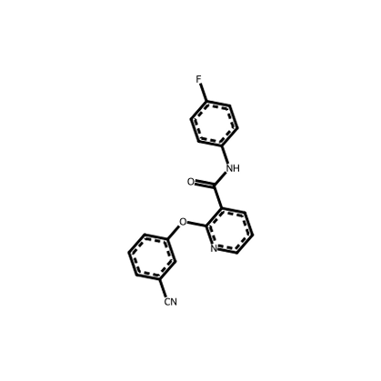 N#Cc1cccc(Oc2ncccc2C(=O)Nc2ccc(F)cc2)c1